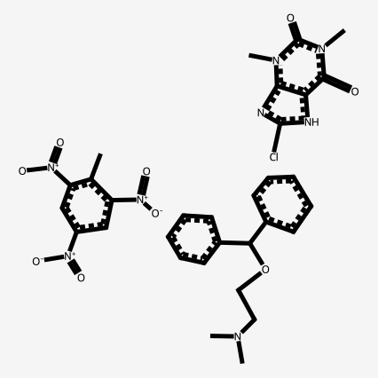 CN(C)CCOC(c1ccccc1)c1ccccc1.Cc1c([N+](=O)[O-])cc([N+](=O)[O-])cc1[N+](=O)[O-].Cn1c(=O)c2[nH]c(Cl)nc2n(C)c1=O